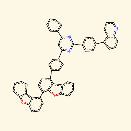 c1ccc(-c2cc(-c3ccc(-c4ccc(-c5cccc6oc7ccccc7c56)c5oc6ccccc6c45)cc3)nc(-c3ccc(-c4cccc5ncccc45)cc3)n2)cc1